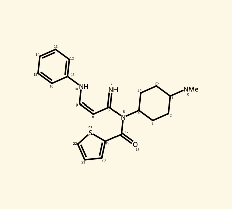 CNC1CCC(N(C(=N)/C=C\Nc2ccccc2)C(=O)c2cccs2)CC1